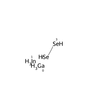 [GaH3].[InH3].[SeH][SeH]